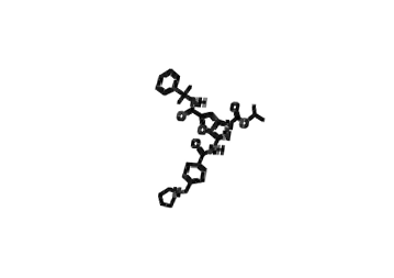 CC(C)OC(=O)n1nc(NC(=O)c2ccc(CN3CCCC3)cc2)c2oc(C(=O)NC(C)(C)c3ccccc3)cc21